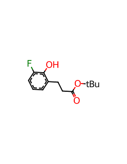 CC(C)(C)OC(=O)CCc1cccc(F)c1O